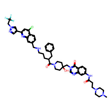 CN1CCN(CCC(=O)Nc2ccc3c(=O)n(CC4(O)CCN(C(=O)C(CCCNCc5ccc6c(Cl)cc(-c7cnn(CC(F)(F)F)c7)nc6c5)Cc5ccccc5)CC4)cnc3c2)CC1